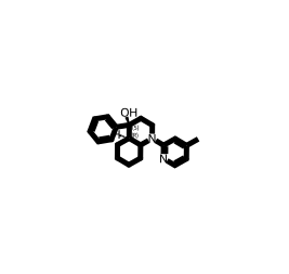 Cc1ccnc(N2CC[C@@](O)(c3ccccc3)[C@@H]3CCCCC32)c1